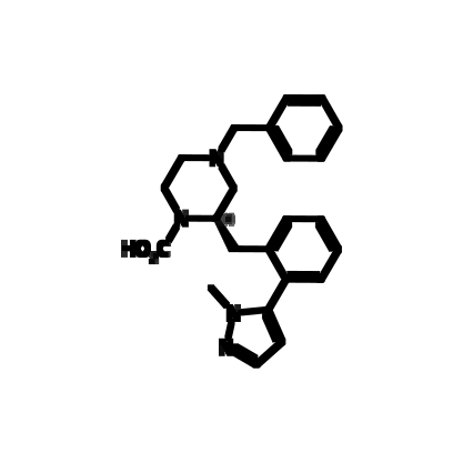 Cn1nccc1-c1ccccc1C[C@@H]1CN(Cc2ccccc2)CCN1C(=O)O